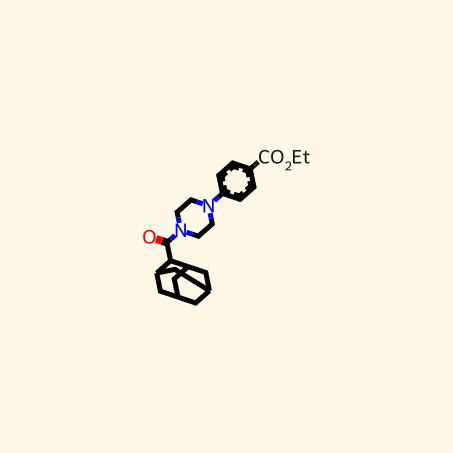 CCOC(=O)c1ccc(N2CCN(C(=O)C3C4CC5CC(C4)CC3C5)CC2)cc1